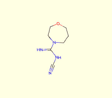 N#CNC(=N)N1CCCOCC1